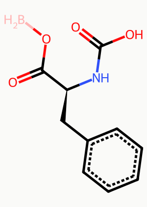 BOC(=O)[C@H](Cc1ccccc1)NC(=O)O